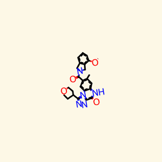 COc1cccc2c1CN(C(=O)c1cc3c(cc1C)[nH]c(=O)c1nnc(C4CCOCC4)n13)C2